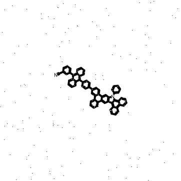 N#Cc1cccc(-c2c3ccccc3c(-c3ccc(-c4ccc5c(c4)c4ccccc4c4cc6c7c8ccccc8c8ccccc8c7n(-c7ccccc7)c6cc54)cc3)c3ccccc23)c1